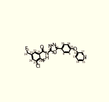 O=C(Nc1nnc(-c2ccc(Oc3cccnc3)cc2)o1)c1cc(CF)cc(Cl)c1F